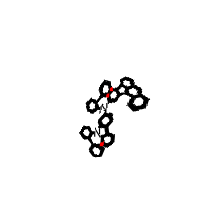 c1ccc(-c2ccccc2N(c2ccc3c(c2)-c2c4ccccc4cc4cccc-3c24)c2ccc3c4ccccc4n(-c4ccccc4-c4ccccc4)c3c2)cc1